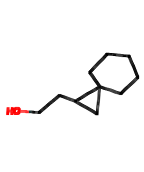 OCCC1CC12CCCCC2